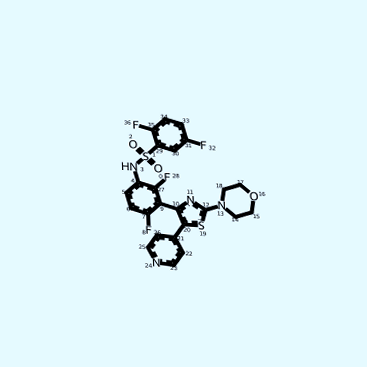 O=S(=O)(Nc1ccc(F)c(-c2nc(N3CCOCC3)sc2-c2ccncc2)c1F)c1cc(F)ccc1F